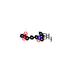 CC1(C)c2ccccc2N2c3ccc(-c4ccc(-c5ccc6oc7ccccc7c(=O)c6c5)cc4)cc3Oc3cccc1c32